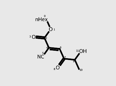 CCCCCCOC(=O)C(C#N)=CC(=O)C(C)O